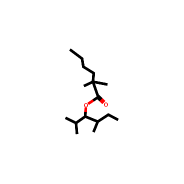 CCCCC(C)(C)C(=O)OC(C(C)C)C(C)CC